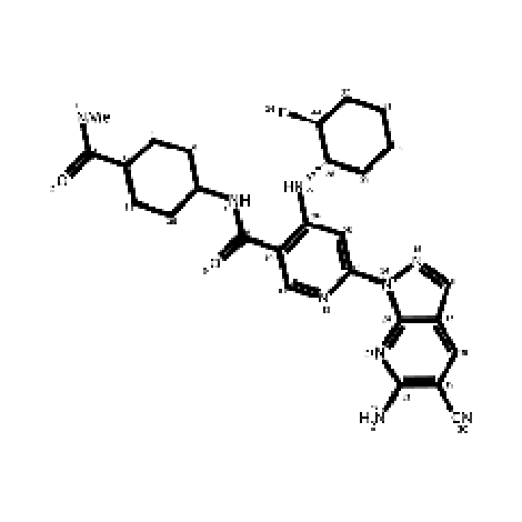 CNC(=O)C1CCC(NC(=O)c2cnc(-n3ncc4cc(C#N)c(N)nc43)cc2N[C@H]2CCCC[C@@H]2F)CC1